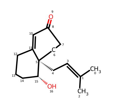 CC(C)=CC[C@@]12CCC(=O)C=C1CCC[C@H]2O